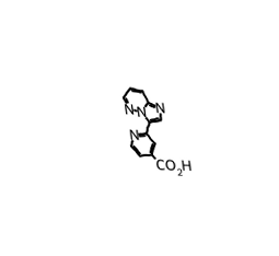 O=C(O)c1ccnc(-c2cnc3cccnn23)c1